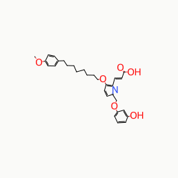 COc1ccc(CCCCCCCCOc2ccc(COc3cccc(O)c3)nc2C=CC(=O)O)cc1